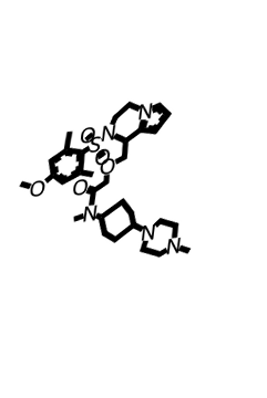 COc1cc(C)c(S(=O)(=O)N2CCn3cccc3C2COCC(=O)N(C)C2CCC(N3CCN(C)CC3)CC2)c(C)c1